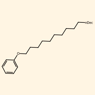 [CH2]CCCCCCCCCCCCCCCCCCCOc1ccccc1